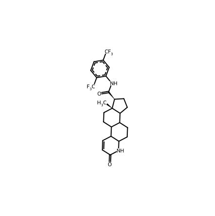 C[C@]12CCC3C4C=CC(=O)NC4CCC3C1CC[C@@H]2C(=O)Nc1cc(C(F)(F)F)ccc1C(F)(F)F